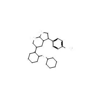 COc1ccc(C2CNC3NCC(C4CCCCC4OC4CCCCC4)CC32)cc1